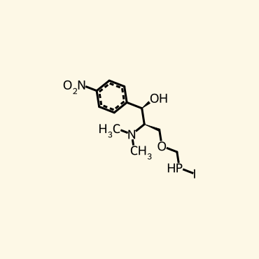 CN(C)[C@H](COCPI)[C@H](O)c1ccc([N+](=O)[O-])cc1